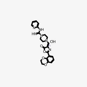 Cl.N=C(Nc1ccccn1)N1CCN(/C=C2/N=C(c3cccc4c3OCCO4)OC2=O)CC1